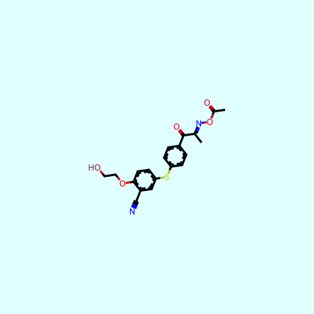 CC(=O)O/N=C(\C)C(=O)c1ccc(Sc2ccc(OCCO)c(C#N)c2)cc1